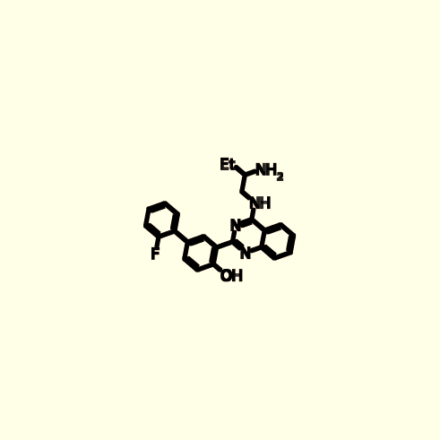 CCC(N)CNc1nc(-c2cc(-c3ccccc3F)ccc2O)nc2ccccc12